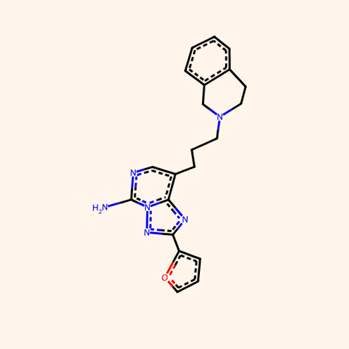 Nc1ncc(CCCN2CCc3ccccc3C2)c2nc(-c3ccco3)nn12